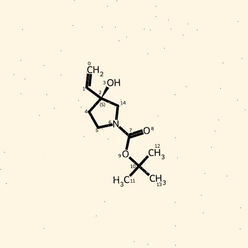 C=C[C@@]1(O)CCN(C(=O)OC(C)(C)C)C1